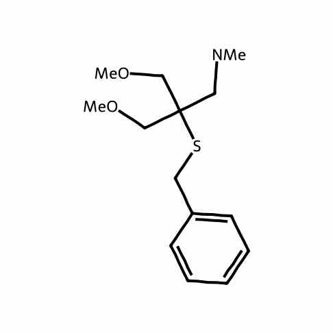 CNCC(COC)(COC)SCc1ccccc1